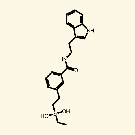 CC[Si](O)(O)CCc1cccc(C(=O)NCCc2c[nH]c3ccccc23)c1